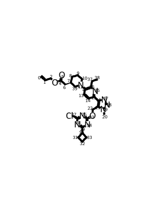 C=CCOC(=O)C[C@H]1CCCN(c2ccc(-c3nnn(C)c3COc3nc(Cl)nc(C4CCC4)n3)nc2CC)C1